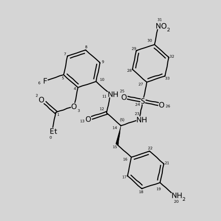 CCC(=O)Oc1c(F)cccc1NC(=O)[C@H](Cc1ccc(N)cc1)NS(=O)(=O)c1ccc([N+](=O)[O-])cc1